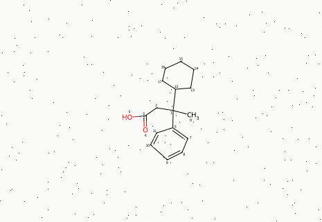 CC(CC(=O)O)(c1ccccc1)C1CCCCC1